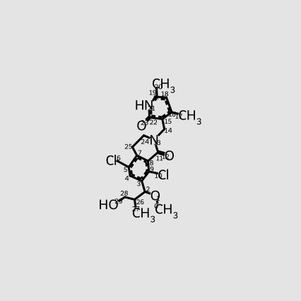 COC(c1cc(Cl)c2c(c1Cl)C(=O)N(Cc1c(C)cc(C)[nH]c1=O)CC2)C(C)CO